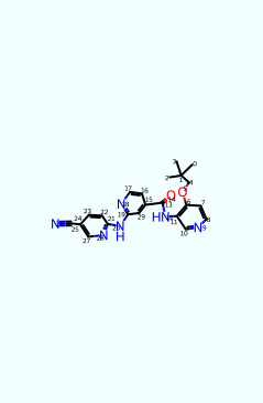 CC(C)(C)COc1ccncc1NC(=O)c1ccnc(Nc2ccc(C#N)cn2)c1